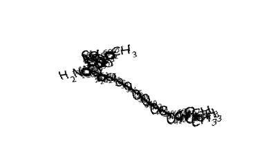 Cc1ccc(S(=O)(=O)n2ccc3c(-c4cc(N)ccc4Oc4cccc(OCCOCCOCCOCCOCCOCCOCCOC5CCN(C(=O)OC(C)(C)C)CC5)c4)cn(C)c(=O)c32)cc1